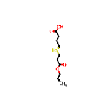 C=CCOC(=O)CC[SH]=CCCC(=O)O